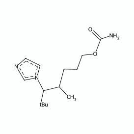 CC(CCCOC(N)=O)C(n1ccnc1)C(C)(C)C